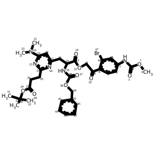 COC(=O)Nc1ccc(C(=O)COC(=O)C(Cc2cc(N(C)C)nc(CCC(=O)OC(C)(C)C)n2)NC(=O)OCc2ccccc2)c(Br)c1